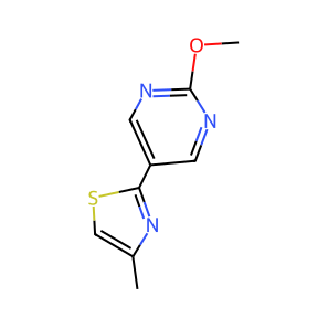 COc1ncc(-c2nc(C)cs2)cn1